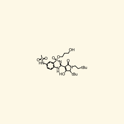 CC(C)(C)CCN1C(=O)C(C2=NP(=O)(OCCCO)c3cc(NS(C)(=O)=O)ccc3N2)=C(O)C1C(C)(C)C